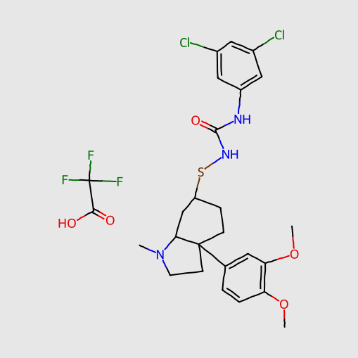 COc1ccc(C23CCC(SNC(=O)Nc4cc(Cl)cc(Cl)c4)CC2N(C)CC3)cc1OC.O=C(O)C(F)(F)F